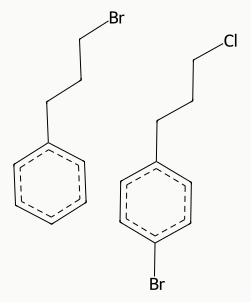 BrCCCc1ccccc1.ClCCCc1ccc(Br)cc1